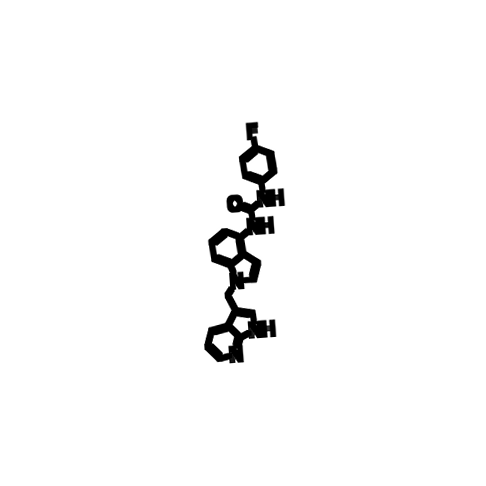 O=C(Nc1ccc(F)cc1)Nc1cccc2c1ccn2Cc1c[nH]c2ncccc12